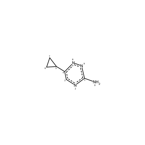 Nc1ncc(C2CC2)nn1